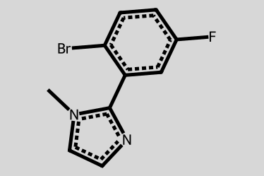 Cn1ccnc1-c1cc(F)ccc1Br